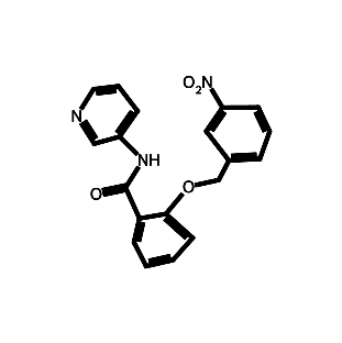 O=C(Nc1cccnc1)c1ccccc1OCc1cccc([N+](=O)[O-])c1